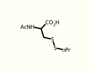 CCCSSCC(NC(C)=O)C(=O)O